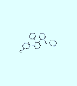 Clc1cccc(-c2cccc(-c3ccccc3Sc3ccccc3)c2-c2ccccc2)c1